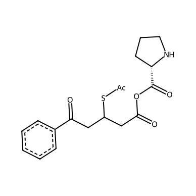 CC(=O)SC(CC(=O)OC(=O)[C@@H]1CCCN1)CC(=O)c1ccccc1